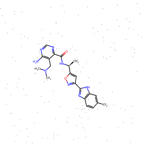 C[C@H](NC(=O)c1ncnc(N)c1CN(C)C)c1cc(-c2nc3ccc(C(F)(F)F)cc3[nH]2)no1